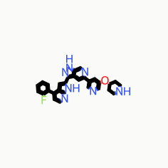 Fc1ccccc1-c1ccnc2[nH]c(-c3n[nH]c4cnc(-c5cncc(OC6CCNCC6)c5)cc34)cc12